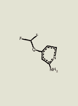 Nc1cc(OC(F)F)ccn1